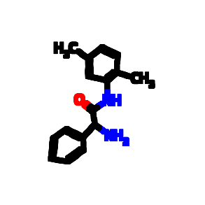 Cc1ccc(C)c(NC(=O)C(N)c2ccccc2)c1